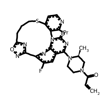 C=CC(=O)N1CCN(c2nc(=O)n3c4nc(c(F)cc24)-c2noc(n2)CCCSc2ccnc(C(C)C)c2-3)[C@@H](C)C1